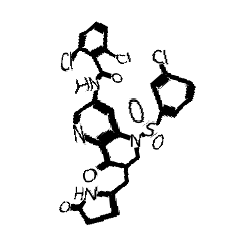 O=C1CCC(CC2CN(S(=O)(=O)c3cccc(Cl)c3)c3cc(NC(=O)c4c(Cl)cccc4Cl)cnc3C2=O)N1